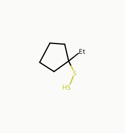 CCC1(SS)CCCC1